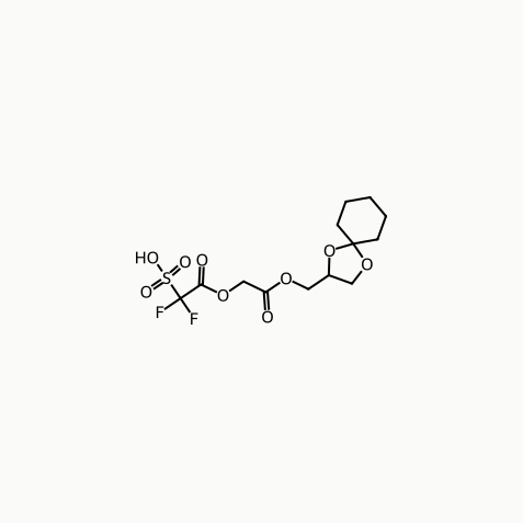 O=C(COC(=O)C(F)(F)S(=O)(=O)O)OCC1COC2(CCCCC2)O1